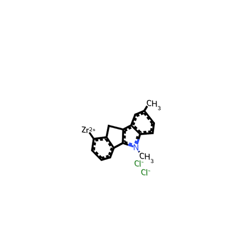 Cc1ccc2c(c1)c1c(n2C)-c2ccc[c]([Zr+2])c2C1.[Cl-].[Cl-]